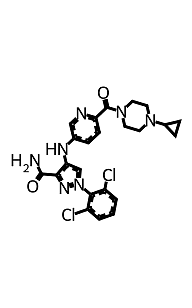 NC(=O)c1nn(-c2c(Cl)cccc2Cl)cc1Nc1ccc(C(=O)N2CCN(C3CC3)CC2)nc1